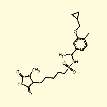 C[C@@H](NS(=O)(=O)CCCCCC1C(=O)NC(=O)N1C)c1ccc(F)c(OCC2CC2)c1